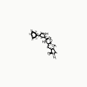 COC(=O)C(CC1CCNC1=O)NC(=O)[C@@H]1C[C@@H](c2ccccc2)CN1